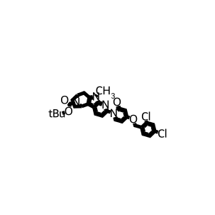 Cn1c2c(c3ccc(-n4ccc(OCc5ccc(Cl)cc5Cl)cc4=O)nc31)C1CCC(C2)N1C(=O)OC(C)(C)C